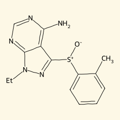 CCn1nc([S+]([O-])c2ccccc2C)c2c(N)ncnc21